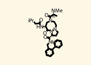 CN[C@H](C)C(=O)N1CCN2CC[C@@H](C(=O)NCc3ccccc3-c3ccccc3)N2C(=O)[C@@H](NC(=O)CC(C)C)C1